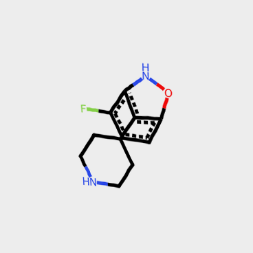 Fc1ccc2c(C3CCNCC3)c1NO2